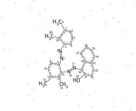 Cc1cccc(N=Nc2ccc(C)c(C)c2N=Nc2c(O)ccc3ccccc23)c1C